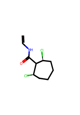 C=CNC(=O)C1[C@H](Cl)CCCC[C@@H]1Cl